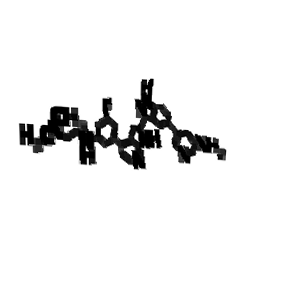 CN(C)CCNc1cc(F)cc(-c2ccnc3[nH]c(-c4n[nH]c5ccc(-c6cncc(N)c6)cc45)cc23)c1